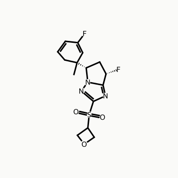 CC1([C@@H]2C[C@H](F)c3nc(S(=O)(=O)C4COC4)nn32)C=C(F)C=CC1